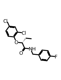 CC[C@@H](Oc1ccc(Cl)cc1Cl)C(=O)NCc1ccc(F)cc1